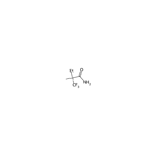 CCC(C)(C(N)=O)C(F)(F)F